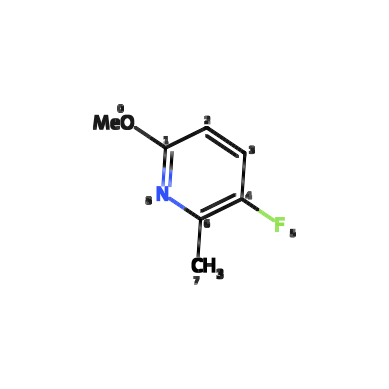 COc1ccc(F)c(C)n1